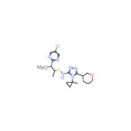 COC(c1ncc(Cl)cn1)C(C)SNc1nnc(C2CCCOC2)n1C1(C)CC1